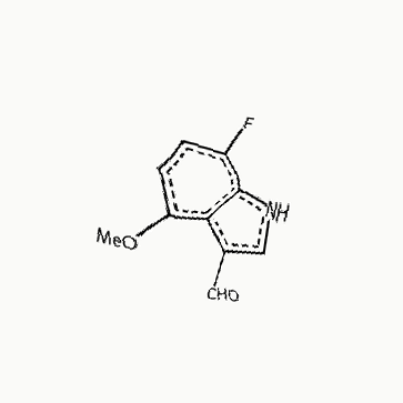 COc1ccc(F)c2[nH]cc(C=O)c12